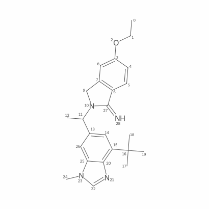 CCOc1ccc2c(c1)CN(C(C)c1cc(C(C)(C)C)c3ncn(C)c3c1)C2=N